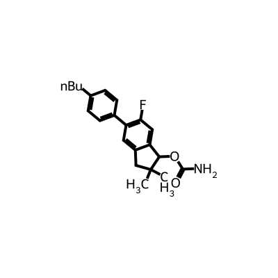 CCCCc1ccc(-c2cc3c(cc2F)C(OC(N)=O)C(C)(C)C3)cc1